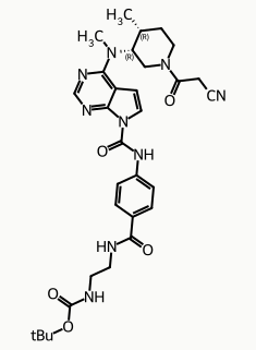 C[C@@H]1CCN(C(=O)CC#N)C[C@@H]1N(C)c1ncnc2c1ccn2C(=O)Nc1ccc(C(=O)NCCNC(=O)OC(C)(C)C)cc1